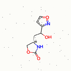 O=C1N[C@@H](CC(O)c2ccon2)CO1